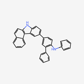 c1ccc(Nc2ccc(-c3ccc4[nH]c5ccc6ccccc6c5c4c3)cc2-c2ccccc2)cc1